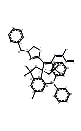 C=C/C(C)=C\C1=C(C2=N[C@@H](Cc3ccccc3)CO2)[C@@]2(CC1(C)C)CC(C)(C)c1cc(C)cc(P(c3ccccc3)c3ccccc3)c12